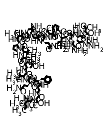 CC[C@H](C)[C@H](N)C(=O)N[C@H](C(=O)NCC(=O)N[C@@H](Cc1ccccc1)C(=O)N[C@@H](CCC(N)=O)C(=O)N[C@H](C(=O)N[C@@H](CC(=O)O)C(=O)N[C@@H](C)C(=O)N[C@H](C(=O)N1CCC[C@H]1C(=O)N[C@@H](C)C(=O)N[C@@H](CC(N)=O)C(=O)NCC(=O)N[C@@H](CCC(N)=O)C(=O)N[C@H](C(=O)N1CCC[C@H]1C(=O)N[C@H](C(=O)N[C@@H](CCC(N)=O)C(=O)N[C@@H](CCCNC(=N)N)C(=O)N[C@H](C(=O)O)[C@@H](C)O)[C@@H](C)CC)[C@@H](C)O)C(C)C)C(C)C)[C@@H](C)O